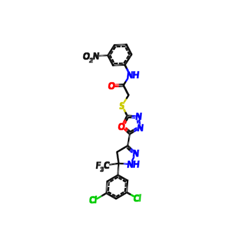 O=C(CSc1nnc(C2=NNC(c3cc(Cl)cc(Cl)c3)(C(F)(F)F)C2)o1)Nc1cccc([N+](=O)[O-])c1